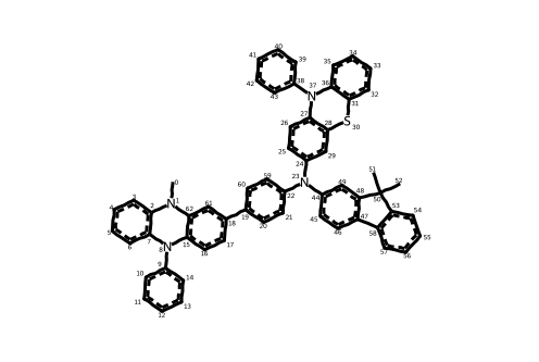 CN1c2ccccc2N(c2ccccc2)c2ccc(-c3ccc(N(c4ccc5c(c4)Sc4ccccc4N5c4ccccc4)c4ccc5c(c4)C(C)(C)c4ccccc4-5)cc3)cc21